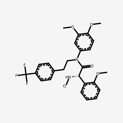 COc1ccc(N(CCc2ccc(C(F)(F)F)cc2)C(=O)[C@@H](NCl)c2ccccc2OC)cc1OC